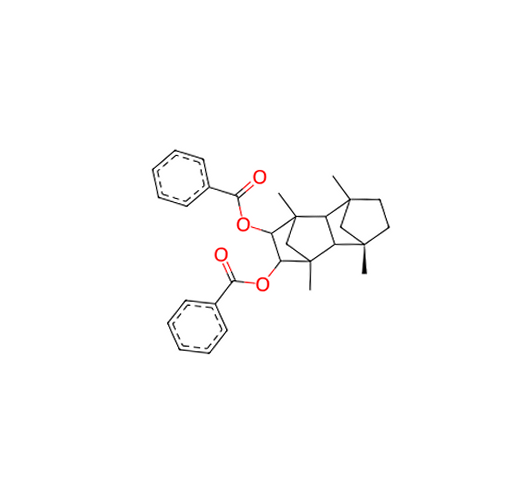 CC12CC[C@@](C)(C1)C1C2C2(C)CC1(C)C(OC(=O)c1ccccc1)C2OC(=O)c1ccccc1